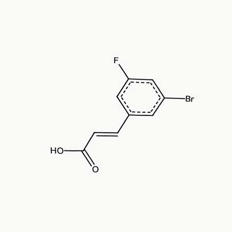 O=C(O)C=Cc1cc(F)cc(Br)c1